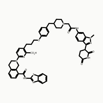 Cn1nc(C2CCC(=O)NC2=O)c2ccc(NC(=O)CN3CCC(Cc4ccc(OCCCc5ccc(N6CCc7cccc(C(=O)Nc8nc9ccccc9s8)c7C6)nc5C(=O)O)cc4)CC3)cc21